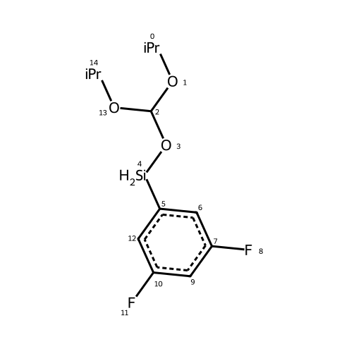 CC(C)OC(O[SiH2]c1cc(F)cc(F)c1)OC(C)C